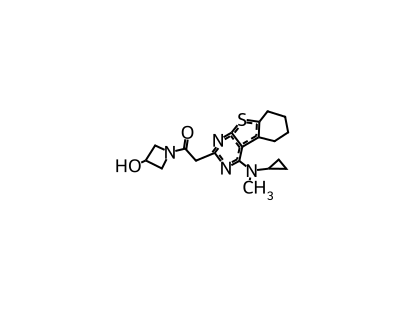 CN(c1nc(CC(=O)N2CC(O)C2)nc2sc3c(c12)CCCC3)C1CC1